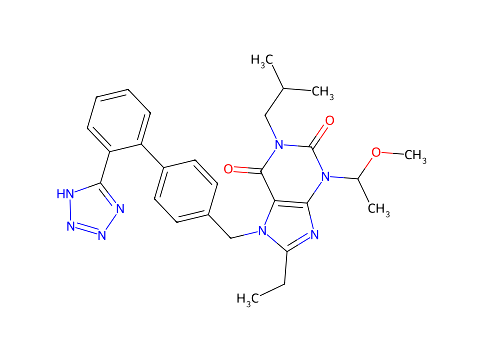 CCc1nc2c(c(=O)n(CC(C)C)c(=O)n2C(C)OC)n1Cc1ccc(-c2ccccc2-c2nnn[nH]2)cc1